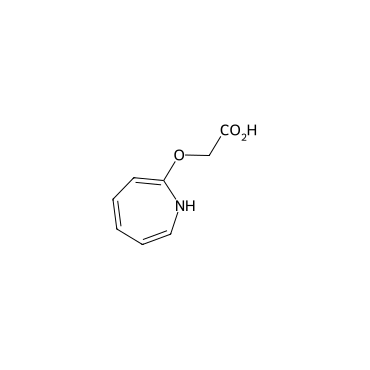 O=C(O)COC1=CC=CC=CN1